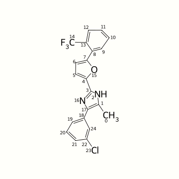 Cc1[nH]c(-c2ccc(-c3ccccc3C(F)(F)F)o2)nc1-c1cccc(Cl)c1